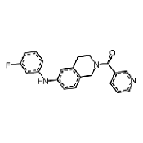 O=C(c1cccnc1)N1CCc2cc(Nc3cccc(F)c3)ccc2C1